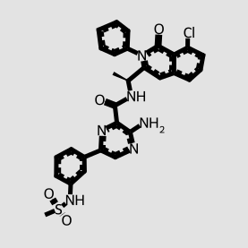 C[C@H](NC(=O)c1nc(-c2cccc(NS(C)(=O)=O)c2)cnc1N)c1cc2cccc(Cl)c2c(=O)n1-c1ccccc1